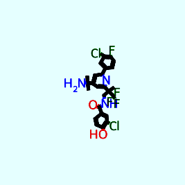 CC(C)(N)c1cc(-c2ccc(F)c(Cl)c2)nc(C(C)(CNC(=O)c2ccc(O)c(Cl)c2)C(F)(F)F)c1